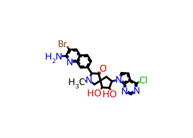 CN1CC2(CC(n3ccc4c(Cl)ncnc43)C(O)C2O)C(=O)C1c1ccc2cc(Br)c(N)nc2c1